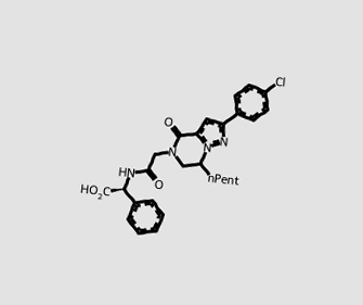 CCCCCC1CN(CC(=O)N[C@H](C(=O)O)c2ccccc2)C(=O)c2cc(-c3ccc(Cl)cc3)nn21